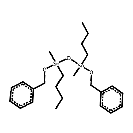 CCC[CH2][Sn]([CH3])([O]Cc1ccccc1)[O][Sn]([CH3])([CH2]CCC)[O]Cc1ccccc1